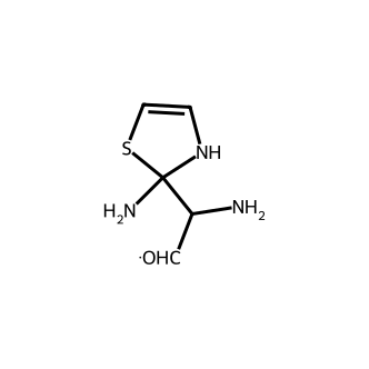 NC([C]=O)C1(N)NC=CS1